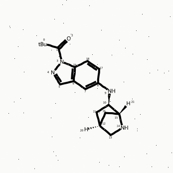 CC(C)(C)C(=O)n1ncc2cc(N[C@@H]3C[C@@H]4CN[C@@H]3C4)ccc21